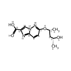 C[C@H](C[C@@H](C)O)Oc1ccc2nc(C(=O)O)cn2n1